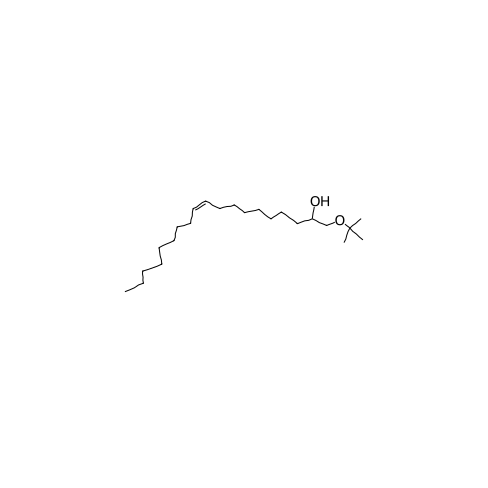 CCCCCCCC/C=C\CCCCCCCC(O)COC(C)(C)C